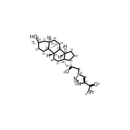 CCCC(=O)c1cn(CC(=O)[C@H]2CC[C@H]3[C@@H]4CC[C@@H]5C[C@](C)(O)CC[C@]5(C)[C@H]4CC[C@]23C)nn1